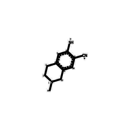 CN1CCc2cc(S)c(C#N)cc2C1